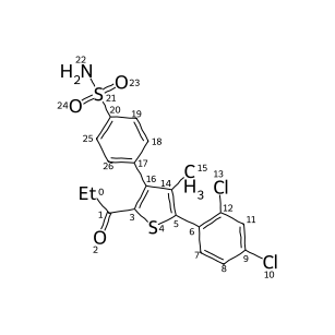 CCC(=O)c1sc(-c2ccc(Cl)cc2Cl)c(C)c1-c1ccc(S(N)(=O)=O)cc1